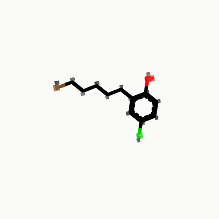 Oc1ccc(Cl)cc1CCCCCBr